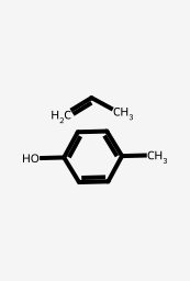 C=CC.Cc1ccc(O)cc1